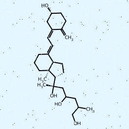 C=C1CC[C@H](O)C/C1=C/C=C1CCC[C@@]2(C)C1CC[C@@H]2[C@@](C)(O)CC(O)CC(C)CO